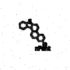 CCCCCOc1ccc2c(ccc3c2ccc2sc4ccccc4c23)c1